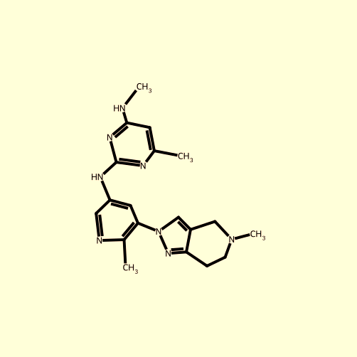 CNc1cc(C)nc(Nc2cnc(C)c(-n3cc4c(n3)CCN(C)C4)c2)n1